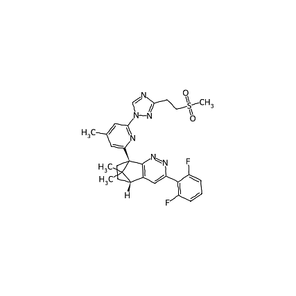 Cc1cc(-n2cnc(CCS(C)(=O)=O)n2)nc([C@@]23CC[C@@H](c4cc(-c5c(F)cccc5F)nnc42)C3(C)C)c1